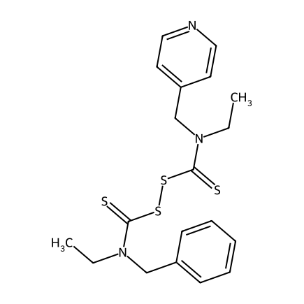 CCN(Cc1ccccc1)C(=S)SSC(=S)N(CC)Cc1ccncc1